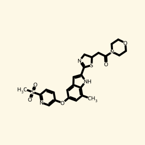 Cc1cc(Oc2ccc(S(C)(=O)=O)nc2)cc2cc(C3=NCC(CC(=O)N4CCOCC4)S3)[nH]c12